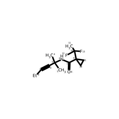 CCC#CC(C)(C)NC(=O)C1(C(C)(F)F)CC1